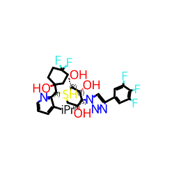 CC(C)c1cccnc1[C@@H]([SH]1C[C@H](O)[C@H](n2cc(-c3cc(F)c(F)c(F)c3)nn2)[C@@H](O)[C@H]1CO)C1(O)CCC(F)(F)CC1